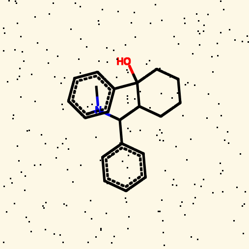 CN(C)C(c1ccccc1)C1CCCCC1(O)c1ccccc1